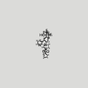 O=S(=O)(c1cccs1)N1CCN(c2ccc(C(O)(C(F)(F)F)C(F)(F)F)cc2-c2cccnc2)CC1